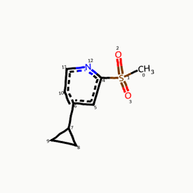 CS(=O)(=O)c1cc(C2CC2)ccn1